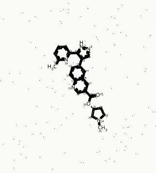 Cc1cccc(-c2[nH]ncc2-c2ccc3ncc(C(=O)O[C@@H]4CCN(C)C4)cc3c2)n1